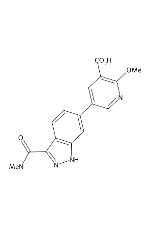 CNC(=O)c1n[nH]c2cc(-c3cnc(OC)c(C(=O)O)c3)ccc12